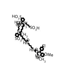 COc1ccc2c(c1)C(c1ccc(Cl)cc1)=N[C@@H](CC(=O)NCCCCCNC(=O)CCCCCC1(C)/C(=C/C=C/C=C/C3=[N+](CCCCS(=O)(=O)O)c4ccc(S(=O)(=O)O)cc4C3(C)C)N(CCCCS(=O)(=O)[O-])c3ccc(S(=O)(=O)O)cc31)c1nnc(C)n1-2